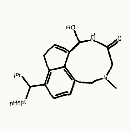 CCCCCCCC(c1ccc2c3c1CC=C3C(O)NC(=O)CN(C)C2)C(C)C